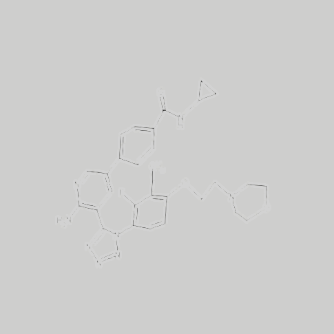 Cc1c(OCCN2CCOCC2)ccc(-n2nnnc2-c2cc(-c3ccc(C(=O)NC4CC4)cc3)cnc2N)c1F